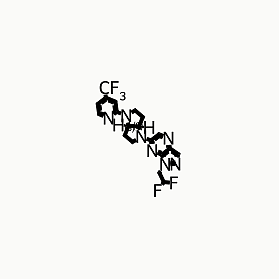 FC(F)Cn1ncc2ncc(N3CC[C@H]4[C@@H]3CCN4c3cc(C(F)(F)F)ccn3)nc21